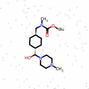 CN1CCN(C(O)[C@H]2CC[C@H](CN(C)C(=O)OC(C)(C)C)CC2)CC1